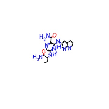 CCC(Nc1cnc(C(N)=O)c(Nc2cnc3ncccc3c2)n1)C(N)=O